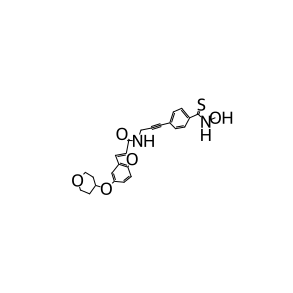 O=C(NCC#Cc1ccc(C(=S)NO)cc1)c1cc2cc(OC3CCOCC3)ccc2o1